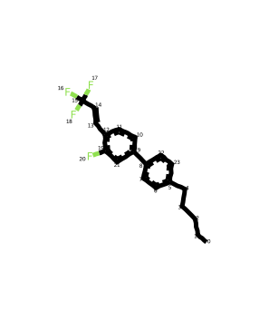 CCCCCc1ccc(-c2ccc(/C=C/C(F)(F)F)c(F)c2)cc1